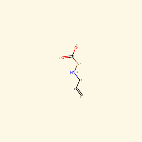 C=CCNSC([O])=O